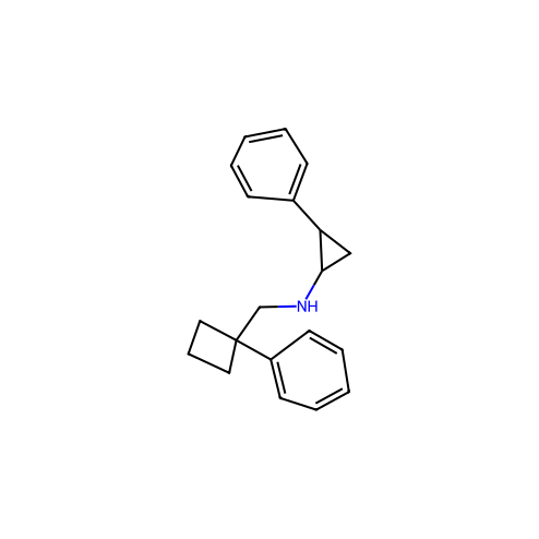 c1ccc(C2CC2NCC2(c3ccccc3)CCC2)cc1